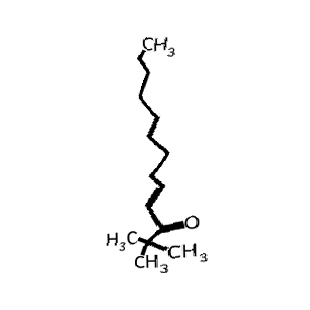 CCCCCCCC/C=C/C(=O)C(C)(C)C